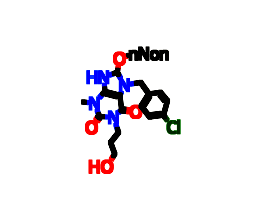 CCCCCCCCCOC1Nc2c(c(=O)n(CCCO)c(=O)n2C)N1Cc1ccc(Cl)cc1